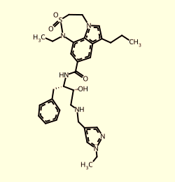 CCCc1cn2c3c(cc(C(=O)N[C@@H](Cc4ccccc4)[C@H](O)CNCc4cnn(CC)c4)cc13)N(CC)S(=O)(=O)CC2